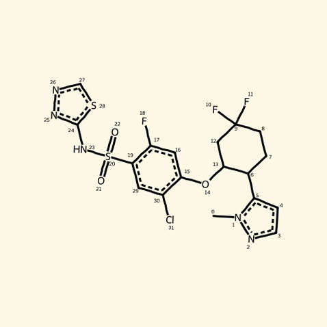 Cn1nccc1C1CCC(F)(F)CC1Oc1cc(F)c(S(=O)(=O)Nc2nncs2)cc1Cl